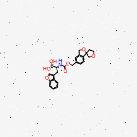 O=C(N[C@@H](Cc1coc2ccccc12)B(O)O)OCc1ccc2c(c1)COC21CCOC1